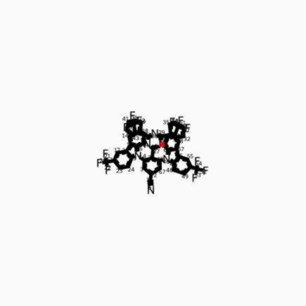 N#Cc1cc(-n2c3ccc(C(F)(F)F)cc3c3cc(C(F)(F)F)ccc32)c(-c2nc(-c3ccccc3)nc(-c3ccccc3)n2)c(-n2c3ccc(C(F)(F)F)cc3c3cc(C(F)(F)F)ccc32)c1